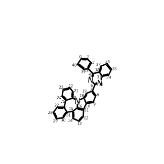 c1ccc(-c2nc(-c3ccc4c5cccc6c5n(c4c3)-c3ccccc3-c3ccccc3-6)nc3ccccc23)cc1